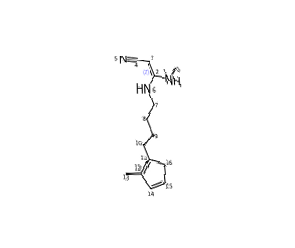 CN/C(=C/C#N)NCCCCC1=C(C)C=CC1